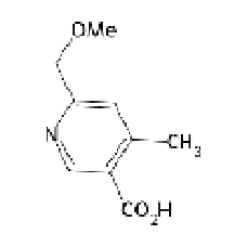 COCc1cc(C)c(C(=O)O)cn1